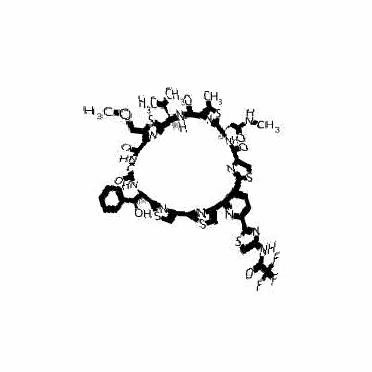 CNC(=O)C[C@@H]1NC(=O)c2csc(n2)-c2ccc(-c3nc(NC(=O)C(F)(F)F)cs3)nc2-c2csc(n2)-c2csc(n2)[C@H]([C@@H](O)c2ccccc2)NC(=O)CNC(=O)c2nc(sc2COC)[C@@H](C(C)C)NC(=O)c2nc1sc2C